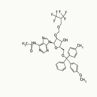 COc1ccc(C(OC[C@H]2O[C@@H](n3cnc4c(NC(C)=O)ncnc43)[C@@H](OCOCC(C(F)(F)F)C(F)(F)F)C2O)(c2ccccc2)c2ccc(C)cc2)cc1